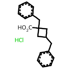 Cl.O=C(O)C1(Cc2ccccc2)CC(Cc2ccccc2)C1